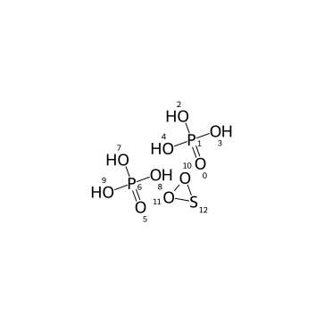 O=P(O)(O)O.O=P(O)(O)O.o1os1